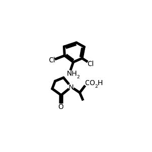 CC(C(=O)O)N1CCCC1=O.Nc1c(Cl)cccc1Cl